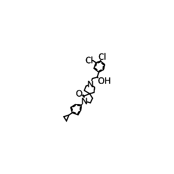 O=C1N(c2ccc(C3CC3)cc2)CCC12CCN(CC(O)c1ccc(Cl)c(Cl)c1)CC2